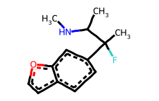 CNC(C)C(C)(F)c1ccc2ccoc2c1